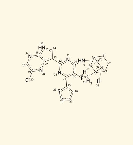 C[C@@H]1C2CCC(CC2)[C@@H]1Nc1nc(-c2c[nH]c3ncc(Cl)nc23)nc(-c2cccs2)c1F